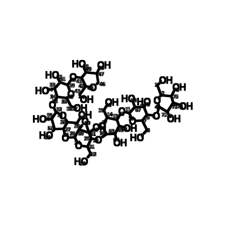 OCC1OC(OC2C(CO)OC(OC3C(CO)OC(OC4C(CO)OC(OC5C(CO)OC(OC6C(CO)OC(OC7C(CO)OCC(O)C7O)C(O)C6O)C(O)C5O)C5OC45O)C(O)C3O)C(O)C2O)C(O)C(O)C1O